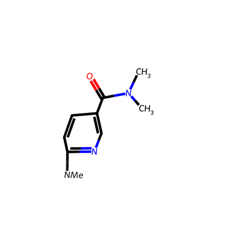 CNc1ccc(C(=O)N(C)C)cn1